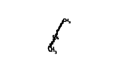 CCCCCCCCC=[CH][Sn](=[S])[CH]=CCCCCCCCC